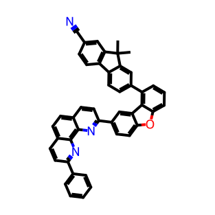 CC1(C)c2cc(C#N)ccc2-c2ccc(-c3cccc4oc5ccc(-c6ccc7ccc8ccc(-c9ccccc9)nc8c7n6)cc5c34)cc21